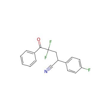 N#CC(CC(F)(F)C(=O)c1ccccc1)c1ccc(F)cc1